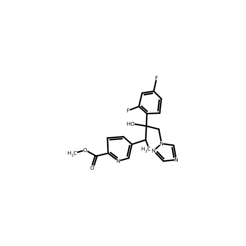 COC(=O)c1ccc(C(C)C(O)(Cn2cncn2)c2ccc(F)cc2F)cn1